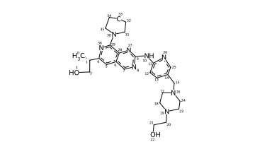 C[C@@H](CO)c1cc2cnc(Nc3ccc(CN4CCN(CCO)CC4)cn3)nc2c(N2CCCCC2)n1